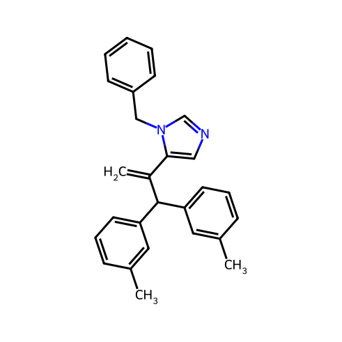 C=C(c1cncn1Cc1ccccc1)C(c1cccc(C)c1)c1cccc(C)c1